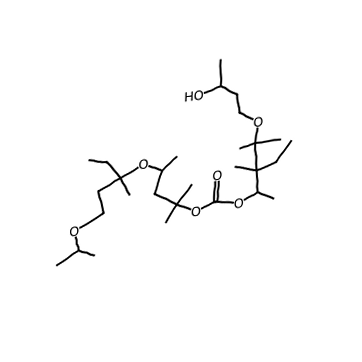 CCC(C)(CCOC(C)C)OC(C)CC(C)(C)OC(=O)OC(C)C(C)(CC)C(C)(C)OCCC(C)O